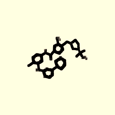 Cc1ccc(NC(=O)c2ccc(CN3CC[C@@H](C(C)(C)N)C3)c(C(F)(F)F)c2)cc1Nc1nccc(-c2cccnc2)n1